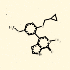 CSc1ccc(OCC2CC2)c(-c2cn(C)c(=O)c3[nH]ccc23)c1